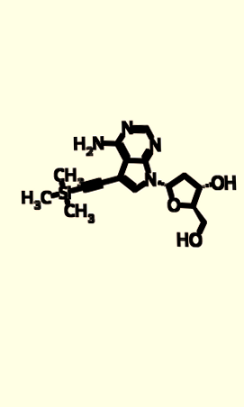 C[Si](C)(C)C#Cc1cn([C@@H]2C[C@H](O)[C@@H](CO)O2)c2ncnc(N)c12